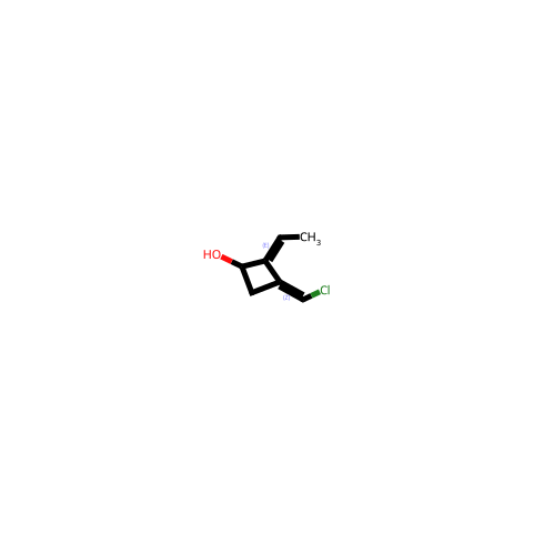 C/C=C1\C(=C/Cl)CC1O